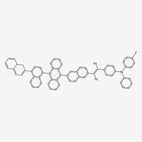 [2H]/C(=C(/[2H])c1ccc2cc(-c3c4ccccc4c(-c4ccc(C5=CC=C6C=CC=CC6C5)c5ccccc45)c4ccccc34)ccc2c1)c1ccc(N(c2ccccc2)c2ccc(F)cc2)cc1